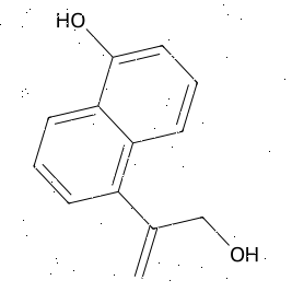 C=C(CO)c1cccc2c(O)cccc12